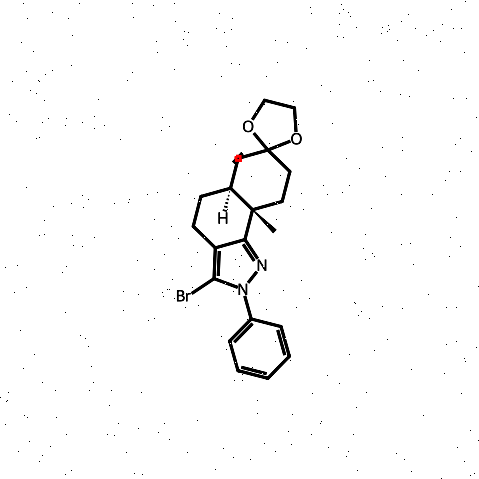 C[C@]12CCC3(OCCO3)C3(CCCC3)[C@@H]1CCc1c2nn(-c2ccccc2)c1Br